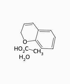 C1=Cc2ccccc2OC1.CC(=O)O.O